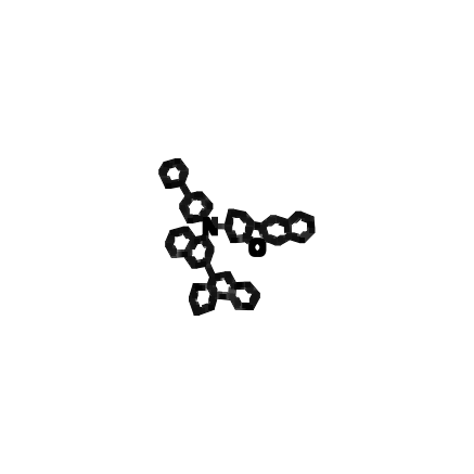 c1ccc(-c2ccc(N(c3ccc4c(c3)oc3cc5ccccc5cc34)c3cc(-c4cc5ccccc5c5ccccc45)cc4ccccc34)cc2)cc1